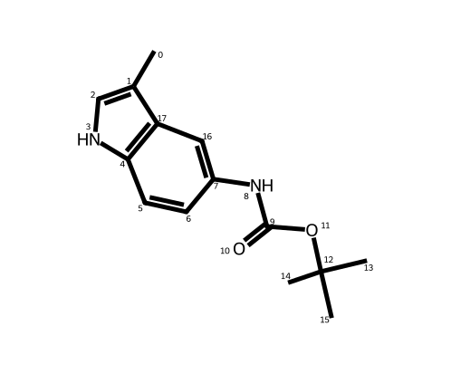 Cc1c[nH]c2ccc(NC(=O)OC(C)(C)C)cc12